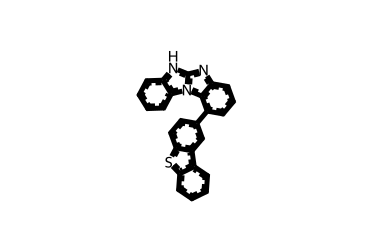 c1cc(-c2ccc3sc4ccccc4c3c2)c2c(c1)nc1[nH]c3ccccc3n12